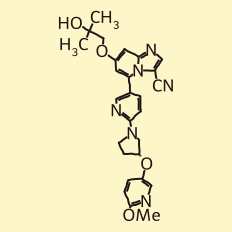 COc1ccc(O[C@@H]2CCN(c3ccc(-c4cc(OCC(C)(C)O)cc5ncc(C#N)n45)cn3)C2)cn1